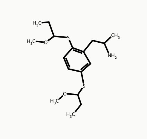 CCC(OC)Sc1ccc(SC(CC)OC)c(CC(C)N)c1